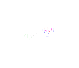 Cc1noc(NC(=O)N2CCC3(C=C(c4ccc(Cl)c(Cl)c4)C3)CC2)c1C